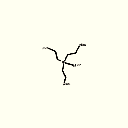 CCCCCCCCCCCC[PH](CCCCCCCCCC)(CCCCCCCCCCCC)CCCCCCCCCCCC